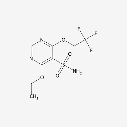 CCOc1ncnc(OCC(F)(F)F)c1S(N)(=O)=O